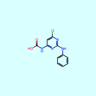 O=C(O)Nc1cc(Cl)nc(Nc2ccccc2)n1